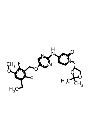 CCc1cc(OC)c(F)c(COc2cnc(Nc3ccn(C[C@@H]4COC(C)(C)O4)c(=O)c3)nc2)c1F